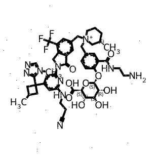 CC1CC(c2cc(NCCC#N)nc(N3Cc4c(cc(C[N+]5(Cc6ccc(O[C@@H]7O[C@H](C(=O)O)[C@@H](O)[C@H](O)[C@H]7O)c(C(=O)NCCN)c6)CCC[C@H](C)C5)cc4C(F)(F)F)C3=O)c2)(c2nncn2C)C1